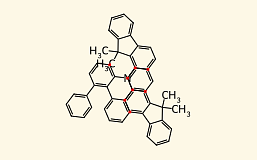 CC1(C)c2ccccc2-c2ccc(N(c3cccc(-c4ccccc4)c3-c3ccccc3-c3ccccc3)c3cccc4c3C(C)(C)c3ccccc3-4)cc21